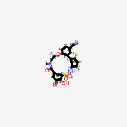 C[C@H]1CN(C)C(=O)c2cc(Br)c(O)c(c2)S(=O)(=O)Nc2cc(c(F)cc2F)-c2cc(C#N)ccc2O1